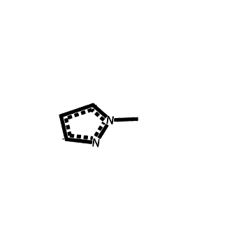 Cn1[c]c[c]n1